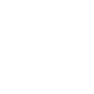 COc1nc(-c2cccc(-c3ccnc(-c4cc(OC)c5nc(CNC[C@@H]6CCC(=O)N6)cn5c4)c3Cl)c2Cl)ccc1CNC[C@@H]1CCC(=O)N1